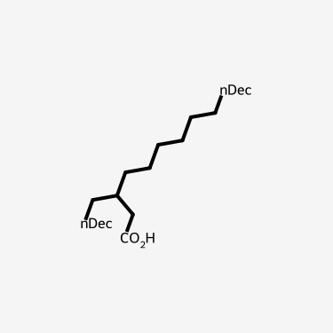 CCCCCCCCCCCCCCCCC(CCCCCCCCCCC)CC(=O)O